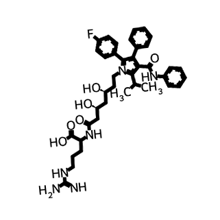 CC(C)c1c(C(=O)Nc2ccccc2)c(-c2ccccc2)c(-c2ccc(F)cc2)n1CC[C@@H](O)C[C@@H](O)CC(=O)NC(CCCNC(=N)N)C(=O)O